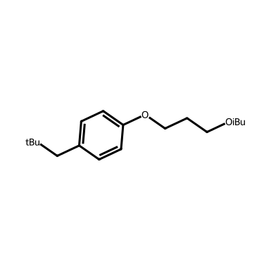 CC(C)COCCCOc1ccc(CC(C)(C)C)cc1